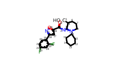 O=C(NC1C(C(=O)O)CCCN1C1CCCCC1)c1cc(-c2ccc(F)cc2F)no1